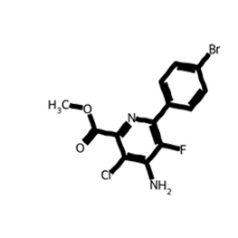 COC(=O)c1nc(-c2ccc(Br)cc2)c(F)c(N)c1Cl